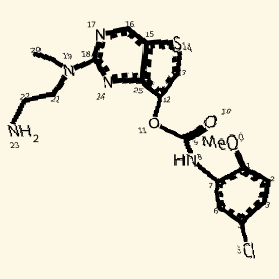 COc1ccc(Cl)cc1NC(=O)Oc1csc2cnc(N(C)CCN)nc12